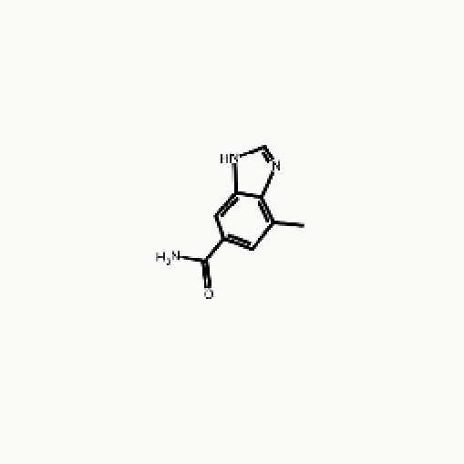 Cc1cc(C(N)=O)cc2[nH]cnc12